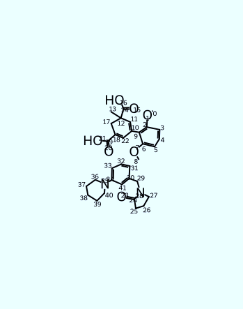 COc1cccc(OC)c1C1=CC(C)(C(=O)O)CC(C(=O)O)=C1.O=C1CCCN1Cc1cccc(N2CCCCC2)c1